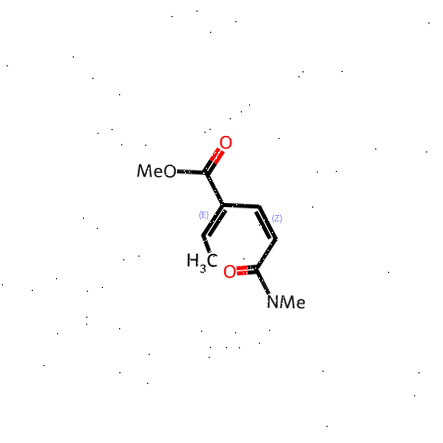 C/C=C(\C=C/C(=O)NC)C(=O)OC